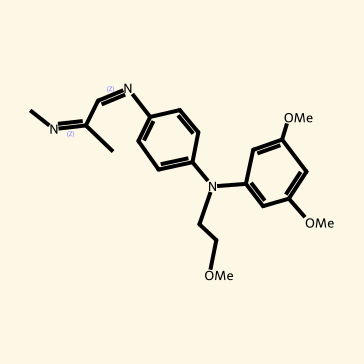 C/N=C(C)\C=N/c1ccc(N(CCOC)c2cc(OC)cc(OC)c2)cc1